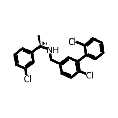 C[C@@H](NCc1ccc(Cl)c(-c2ccccc2Cl)c1)c1cccc(Cl)c1